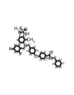 Cc1c(NS(C)(=O)=O)cccc1N(Cc1ccc(Oc2ccc(C(=O)NCc3ccccc3)cc2)cc1)Cc1ccc(F)cc1F